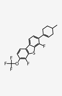 CC1CC=C(c2ccc3c(sc4c(F)c(OC(F)(F)F)ccc43)c2F)CC1